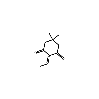 [CH2]C=C1C(=O)CC(C)(C)CC1=O